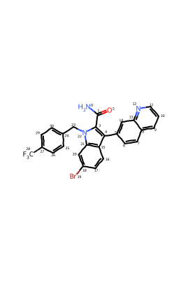 NC(=O)c1c(-c2ccc3cccnc3c2)c2ccc(Br)cc2n1Cc1ccc(C(F)(F)F)cc1